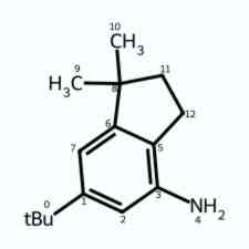 CC(C)(C)c1cc(N)c2c(c1)C(C)(C)CC2